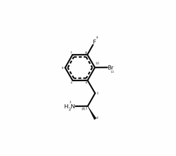 C[C@@H](N)Cc1cccc(F)c1Br